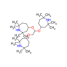 CC1(C)CCC(OCC(OC2CCC(C)(C)NC(C)(C)C2)OC2CCC(C)(C)NC(C)(C)C2)CC(C)(C)N1